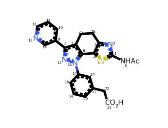 CC(=O)Nc1nc2c(s1)-c1c(c(-c3cccnc3)nn1-c1cccc(CC(=O)O)c1)CC2